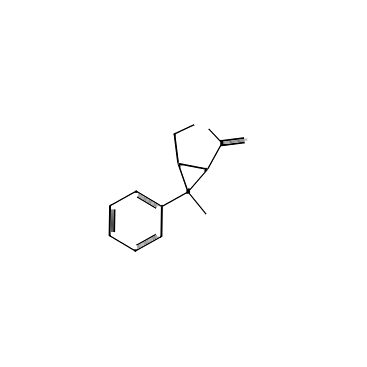 CC1(c2ccccc2)C2COC(=O)C21